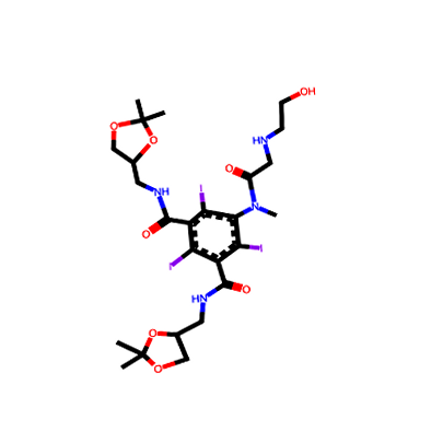 CN(C(=O)CNCCO)c1c(I)c(C(=O)NCC2COC(C)(C)O2)c(I)c(C(=O)NCC2COC(C)(C)O2)c1I